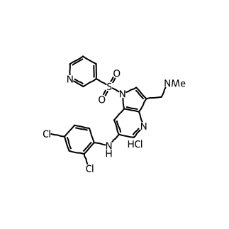 CNCc1cn(S(=O)(=O)c2cccnc2)c2cc(Nc3ccc(Cl)cc3Cl)cnc12.Cl